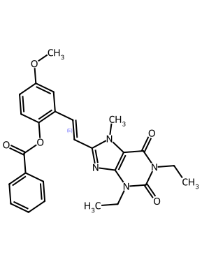 CCn1c(=O)c2c(nc(/C=C/c3cc(OC)ccc3OC(=O)c3ccccc3)n2C)n(CC)c1=O